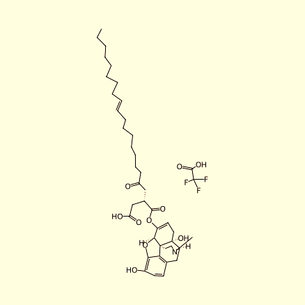 CCCCCCCCC=CCCCCCCCC(=O)C[C@@H](CC(=O)O)C(=O)OC1=CC[C@@]2(O)[C@H]3Cc4ccc(O)c5c4[C@@]2(CCN3C)[C@H]1O5.O=C(O)C(F)(F)F